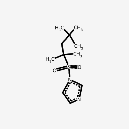 CC(C)(C)CC(C)(C)S(=O)(=O)n1ccnc1